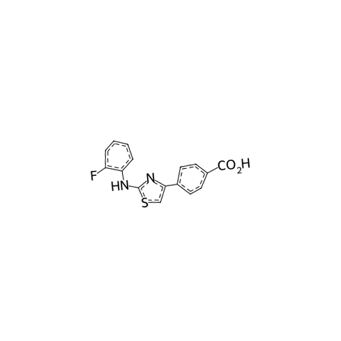 O=C(O)c1ccc(-c2csc(Nc3ccccc3F)n2)cc1